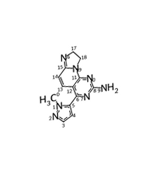 Cn1nccc1-c1nc(N)nc2c1C=CC1=NCCN12